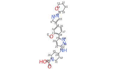 COc1cc(-c2cnn(C3CCCCO3)c2)ccc1-c1ccc(NC2CCN(C(=O)O)CC2)nn1